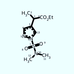 CCOC(=O)C(C)c1cnn(S(=O)(=O)N(C)C)c1